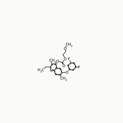 CCc1nc2cc(C)c(Oc3cc(F)cc(F)c3)cc2c(OC(=O)OCCOC)c1C